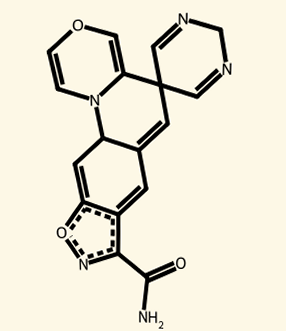 NC(=O)c1noc2c1=CC1=CC3(C=NCN=C3)C3=COC=CN3C1C=2